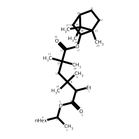 CCCCCCC(C)OC(=O)C(CC)C(C)(C)CC(C)(C)C(=O)OC1CC2CCC1(C)C2(C)C